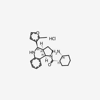 Cc1occc1[C@@H]1Nc2ccccc2[C@H]2[C@@H]1CCN2C(=O)[C@H]1CCCC[C@H]1N.Cl